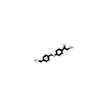 C=Cc1ccc(COc2ccc(C(=O)CO)cc2)cc1